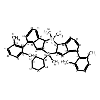 Cc1cccc(C)c1-c1cccc2c1C=C1[CH]2[Hf]([CH3])([CH3])[CH]2C(=Cc3c(-c4c(C)cccc4C)cccc32)[Si]1(C)C1CCCCC1